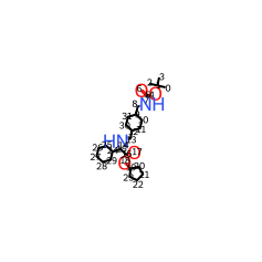 CC(C)(C)OC(=O)NCC1CCC(CN[C@H](C(=O)OC2CCCC2)C2CCCCC2)CC1